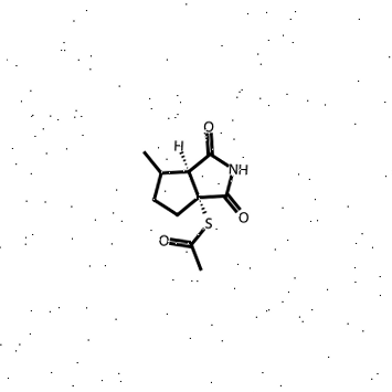 CC(=O)S[C@]12CCC(C)[C@H]1C(=O)NC2=O